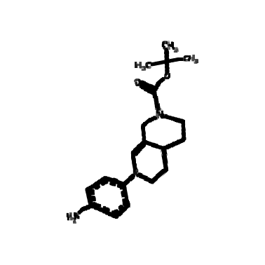 CC(C)(C)OC(=O)N1CCC2CCN(c3ccc(N)cc3)C=C2C1